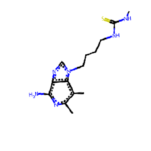 CNC(=S)NCCCCn1cnc2c(N)nc(C)c(C)c21